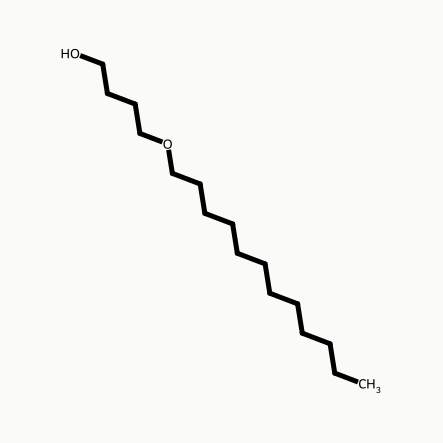 CCCCCCCCCCCCOCCCCO